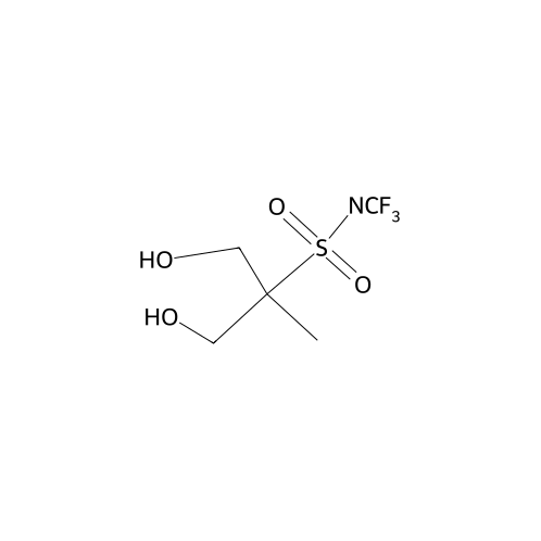 CC(CO)(CO)S(=O)(=O)NC(F)(F)F